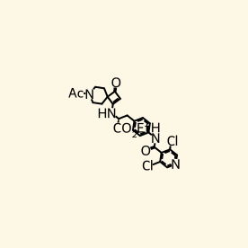 CCOC(=O)[C@H](Cc1ccc(NC(=O)c2c(Cl)cncc2Cl)cc1)NC1=CC(=O)C12CCN(C(C)=O)CC2